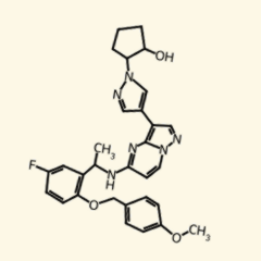 COc1ccc(COc2ccc(F)cc2C(C)Nc2ccn3ncc(-c4cnn(C5CCCC5O)c4)c3n2)cc1